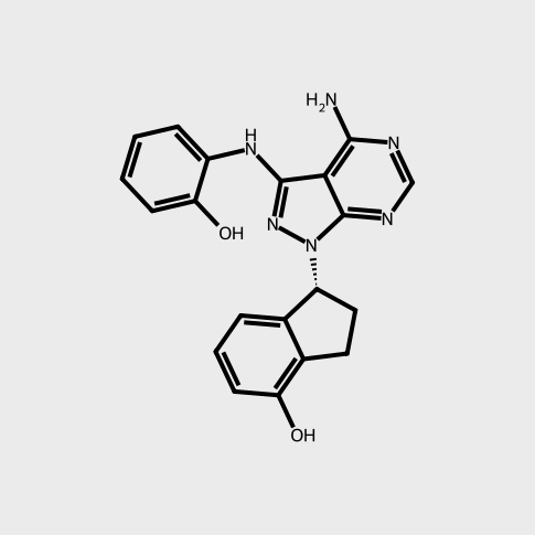 Nc1ncnc2c1c(Nc1ccccc1O)nn2[C@@H]1CCc2c(O)cccc21